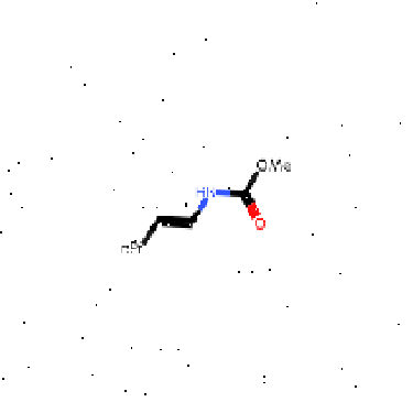 CCC/C=C/NC(=O)OC